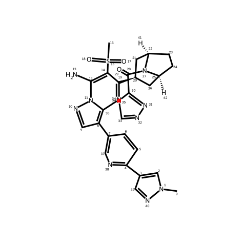 Cn1cc(-c2ccc(-c3cnn4c(N)c(S(C)(=O)=O)c([C@H]5C[C@H]6CC[C@@H](C5)N6C(=O)c5nnc[nH]5)nc34)cn2)cn1